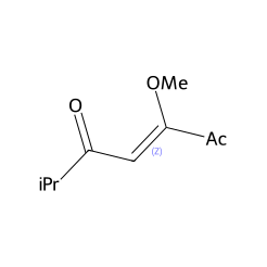 CO/C(=C\C(=O)C(C)C)C(C)=O